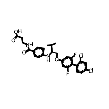 CC(C)[C@@H](COc1cc(F)c(-c2ccc(Cl)cc2Cl)c(F)c1)Nc1ccc(C(=O)NCCC(=O)O)cc1